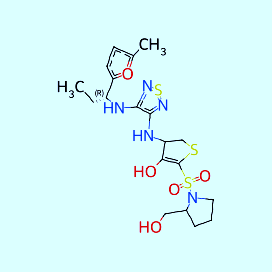 CC[C@@H](Nc1nsnc1NC1CSC(S(=O)(=O)N2CCCC2CO)=C1O)c1ccc(C)o1